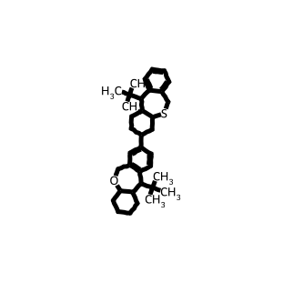 CC(C)(C)C1c2ccc(C3CCC4C(C3)SCc3ccccc3C4C(C)(C)C)cc2COC2CCCCC21